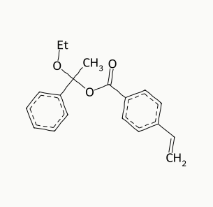 C=Cc1ccc(C(=O)OC(C)(OCC)c2ccccc2)cc1